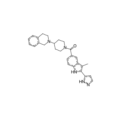 Cc1c(-c2ccn[nH]2)[nH]c2ccc(C(=O)N3CCC(N4CCc5ccccc5C4)CC3)cc12